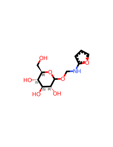 OC[C@H]1OC(OCNc2ccco2)[C@H](O)[C@@H](O)[C@@H]1O